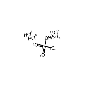 Cl.Cl.Cl.O=S(=O)(O)Cl.S